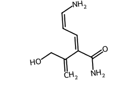 C=C(CO)/C(=C\C=C/N)C(N)=O